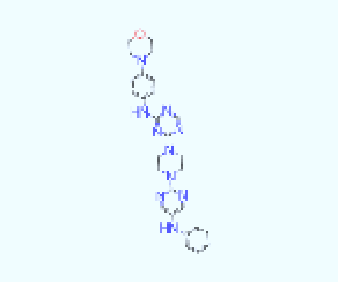 c1ccc(Nc2cnc(N3CCN(c4ncnc(Nc5ccc(N6CCOCC6)cc5)n4)CC3)nc2)cc1